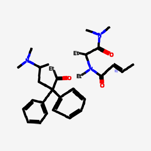 C/C=C/C(=O)N(CC)C(CC)C(=O)N(C)C.CCC(=O)C(CC(C)N(C)C)(c1ccccc1)c1ccccc1